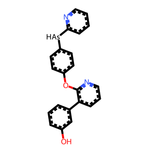 Oc1cccc(-c2cccnc2Oc2ccc([AsH]c3ccccn3)cc2)c1